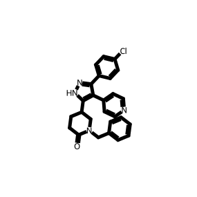 O=C1CCC(c2[nH]nc(-c3ccc(Cl)cc3)c2-c2ccncc2)CN1Cc1ccccc1